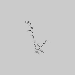 CCCOC(=O)CCCCCCCCC(C)C(C)C(=O)OCCC